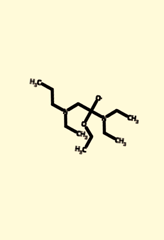 CCCN(CC)CC([O])(OCC)N(CC)CC